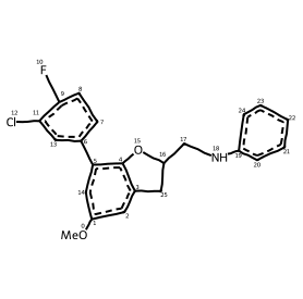 COc1cc2c(c(-c3ccc(F)c(Cl)c3)c1)OC(CNc1ccccc1)C2